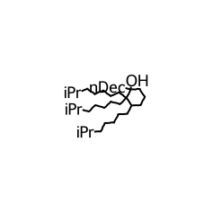 CCCCCCCCCCC1(O)CCCC(CCCCCC(C)C)C1(CCCCCC(C)C)CCCCCC(C)C